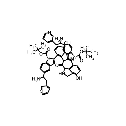 CC(C)(C)OC(=O)n1c(-c2ccc(O)c3c2C(C(=O)C2NCc4c(O)ccc(-c5cc6cc(C(N)Cc7cccnc7)ccc6n5C(=O)OC(C)(C)C)c42)NC3)cc2cc(C(N)Cc3cccnc3)ccc21